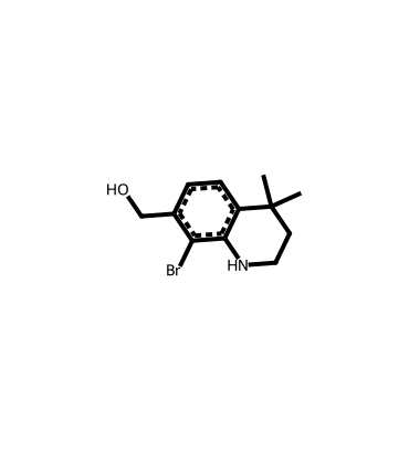 CC1(C)CCNc2c1ccc(CO)c2Br